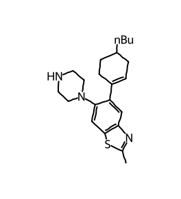 CCCCC1CC=C(c2cc3nc(C)sc3cc2N2CCNCC2)CC1